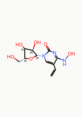 C=Cc1cn([C@@H]2O[C@H](CO)[C@@H](O)[C@H]2O)c(=O)nc1NO